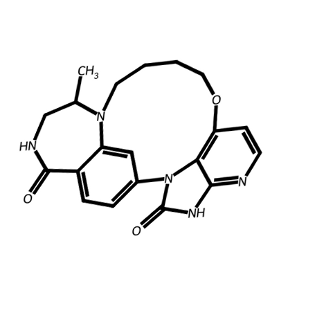 CC1CNC(=O)c2ccc3cc2N1CCCCOc1ccnc2[nH]c(=O)n-3c12